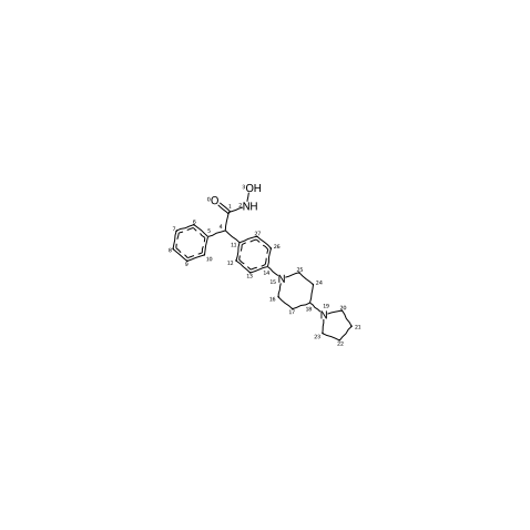 O=C(NO)C(c1ccccc1)c1ccc(N2CCC(N3CCCC3)CC2)cc1